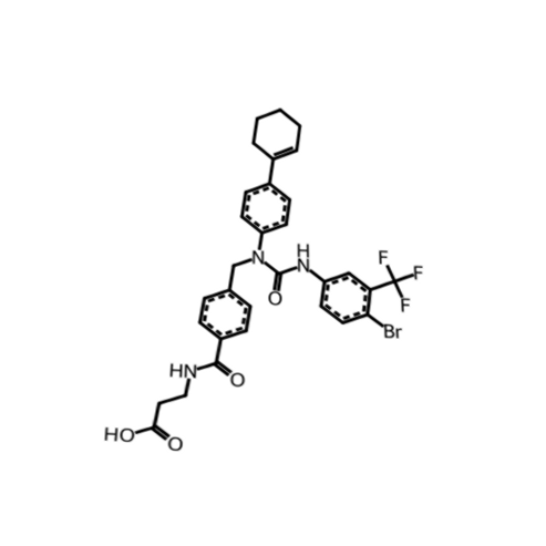 O=C(O)CCNC(=O)c1ccc(CN(C(=O)Nc2ccc(Br)c(C(F)(F)F)c2)c2ccc(C3=CCCCC3)cc2)cc1